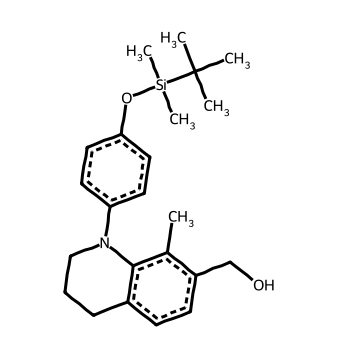 Cc1c(CO)ccc2c1N(c1ccc(O[Si](C)(C)C(C)(C)C)cc1)CCC2